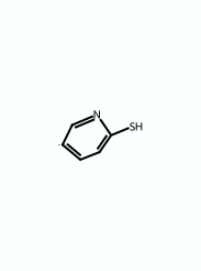 Sc1cc[c]cn1